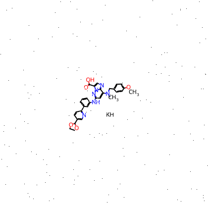 COc1ccc(CN(C)c2cc(Nc3cccc(-c4ccc(C5OCCO5)cn4)c3)nn3c(C(=O)O)cnc23)cc1.[KH]